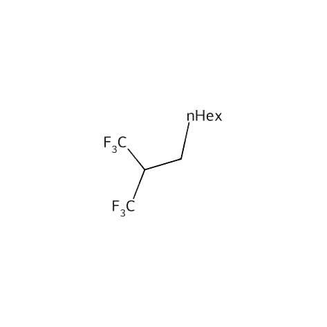 CCCCCCCC(C(F)(F)F)C(F)(F)F